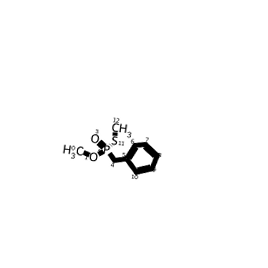 COP(=O)(Cc1ccccc1)SC